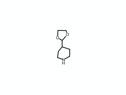 C1CC(C2OCCO2)CCN1